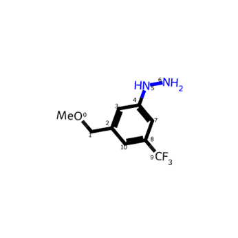 COCc1cc(NN)cc(C(F)(F)F)c1